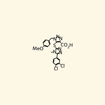 COc1ccc(Cn2nnc(C(=O)O)c2Sc2nnc(-c3ccc(Cl)c(Cl)c3)n2C)cc1